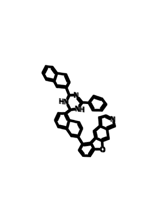 c1ccc(C2=NC(c3ccc4ccccc4c3)NC(c3cccc4cc(-c5cccc6oc7cc8cnccc8cc7c56)ccc34)N2)cc1